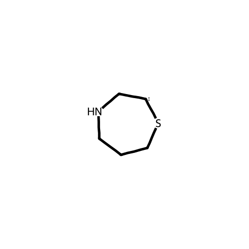 [C]1CNCCCS1